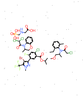 CC(C)OC(=O)c1cc(-c2nn(C)c(C(F)(F)F)c2Br)c(F)cc1Cl.CC1COc2ccccc2N1C(=O)C(Cl)Cl.CCc1cccc(C)c1N(C(=O)CCl)C(C)COC.O=C(O)CNCP(=O)(O)O